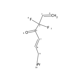 C=CC(F)(F)C(=O)/C=C/CC(C)C